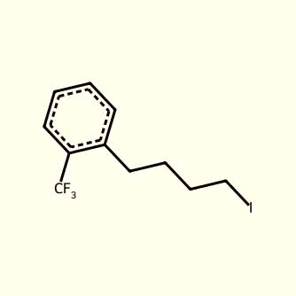 FC(F)(F)c1ccccc1CCCCI